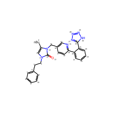 CCCCc1cn(CCc2ccccc2)c(=O)n1Cc1ccc(-c2ccccc2-c2nnn[nH]2)nc1